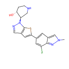 Cn1cc2cc(-c3cc4cnn([C@@H]5CNCC[C@H]5O)c4s3)cc(F)c2n1